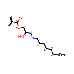 C=C(C)C(=O)OCC(O)CNCCCCCCCCCCCCCCCC